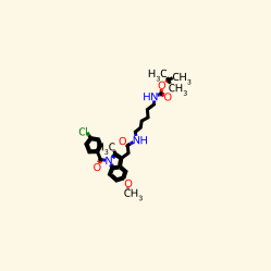 COc1ccc2c(c1)c(CC(=O)NCCCCCCNC(=O)OC(C)(C)C)c(C)n2C(=O)c1ccc(Cl)cc1